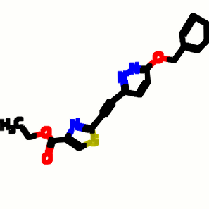 CCOC(=O)c1csc(C#Cc2ccc(OCc3ccccc3)nn2)n1